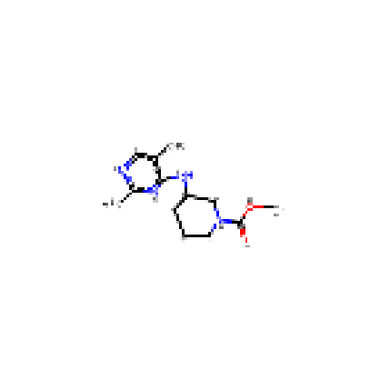 CSc1ncc(C=O)c(NC2CCCN(C(=O)OC(C)(C)C)C2)n1